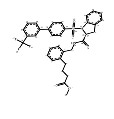 COC(=O)CCCc1ccccc1CNC(=O)[C@@H]1Cc2ccccc2N1S(=O)(=O)c1ccc(-c2cccc(C(F)(F)F)c2)cc1